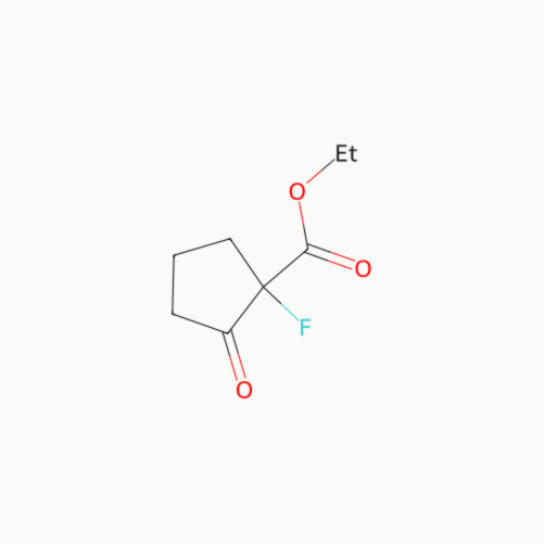 CCOC(=O)C1(F)CCCC1=O